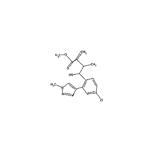 C=C(C(=O)OC)C(C)C(O)c1ccc(Cl)cc1-c1cnn(C)c1